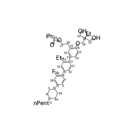 CCCCCC1CCC(c2ccc(-c3ccc(-c4ccc(OCC(CC)(CO)CO)c(CCOC(=O)C(C)C)c4)c(CC)c3)c(F)c2)CC1